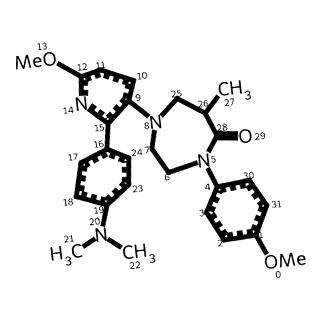 COc1ccc(N2CCN(c3ccc(OC)nc3-c3ccc(N(C)C)cc3)CC(C)C2=O)cc1